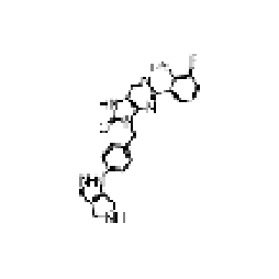 CC(C)c1c(F)cccc1-c1ncc2[nH]c(=O)n(Cc3ccc(-n4ncc5c4CNC5)cc3)c2n1